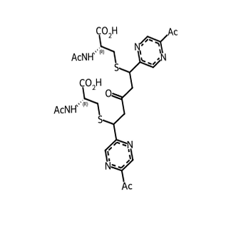 CC(=O)N[C@@H](CSC(CC(=O)CC(SC[C@H](NC(C)=O)C(=O)O)c1cnc(C(C)=O)cn1)c1cnc(C(C)=O)cn1)C(=O)O